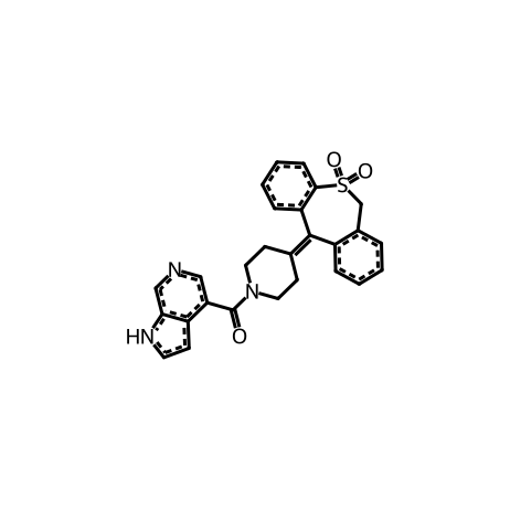 O=C(c1cncc2[nH]ccc12)N1CCC(=C2c3ccccc3CS(=O)(=O)c3ccccc32)CC1